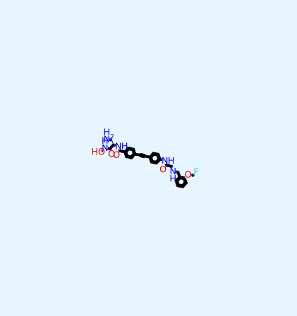 NC[C@H](NC(=O)c1ccc(C#Cc2ccc(NC(=O)CNCc3ccccc3OCF)cc2)cc1)C(=O)NO